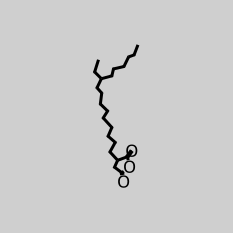 CCCCCCC(CC)CCCCCCCCCC1CC(=O)OC1=O